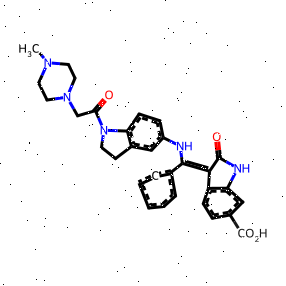 CN1CCN(CC(=O)N2CCc3cc(N/C(=C4\C(=O)Nc5cc(C(=O)O)ccc54)c4ccccc4)ccc32)CC1